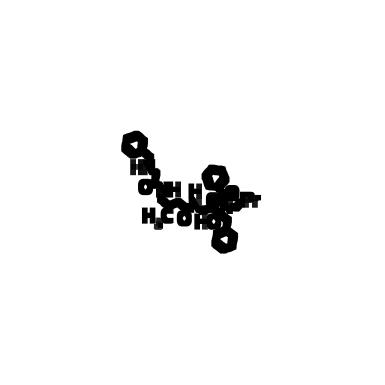 CC(C)CN(C(O)(CCNC(=O)CC(C)CNC(=O)CNCc1ccccc1)Cc1ccccc1)S(=O)(=O)c1ccccc1